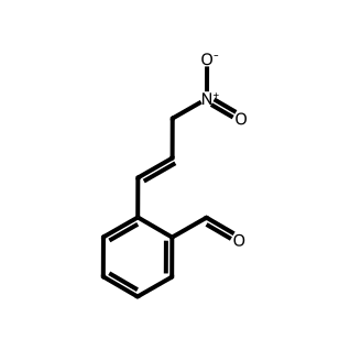 O=Cc1ccccc1/C=C/C[N+](=O)[O-]